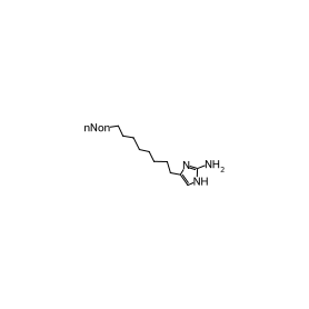 CCCCCCCCCCCCCCCCCc1c[nH]c(N)n1